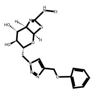 CCNC1=N[C@@H]2[C@@H](O)[C@H](O)[C@@H](Cn3cc(COc4ccccc4)nn3)O[C@@H]2S1